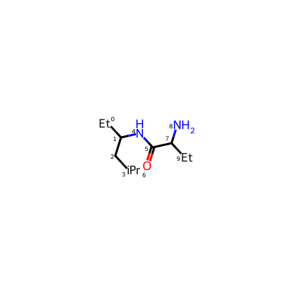 CCC(CC(C)C)NC(=O)C(N)CC